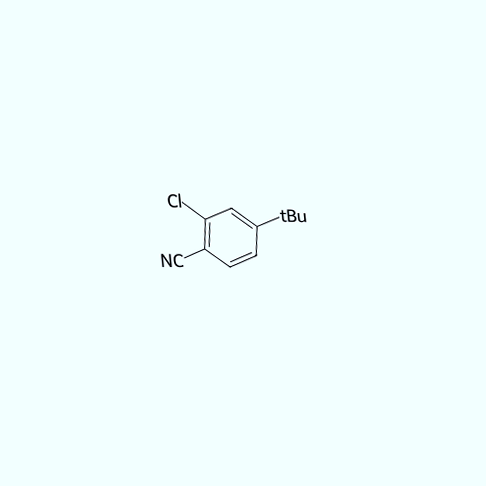 CC(C)(C)c1ccc(C#N)c(Cl)c1